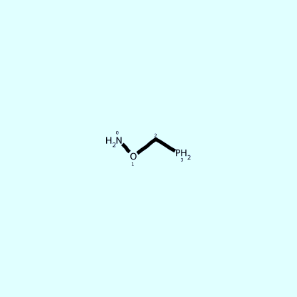 NOCP